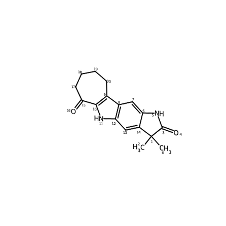 CC1(C)C(=O)Nc2cc3c4c([nH]c3cc21)C(=O)CCCC4